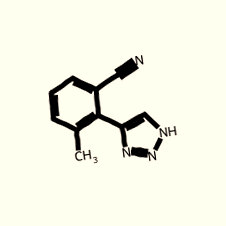 Cc1cccc(C#N)c1-c1c[nH]nn1